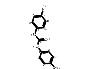 Cc1ccc(OC(=O)Oc2ccc(F)cc2)cc1